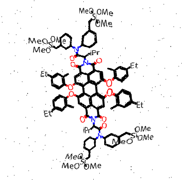 CCc1ccc(Oc2cc3c4c(cc(Oc5ccc(CC)cc5C)c5c6c(Oc7ccc(CC)cc7C)cc7c8c(cc(Oc9ccc(CC)cc9C)c(c2c45)c86)C(=O)N(C(C(=O)N(C2CCCC(C[Si](OC)(OC)OC)C2)C2CCCC(C[Si](OC)(OC)OC)C2)C(C)C)C7=O)C(=O)N(C(C(=O)N(C2CCCC(C[Si](OC)(OC)OC)C2)C2CCCC(C[Si](OC)(OC)OC)C2)C(C)C)C3=O)c(C)c1